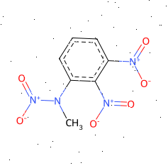 CN(c1cccc([N+](=O)[O-])c1[N+](=O)[O-])[N+](=O)[O-]